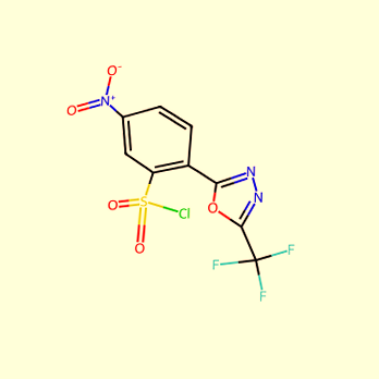 O=[N+]([O-])c1ccc(-c2nnc(C(F)(F)F)o2)c(S(=O)(=O)Cl)c1